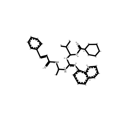 CC(NC(=O)/C=C/c1ccccc1)N/C(=N\c1cccc2cccnc12)SC(OC(=O)C1CCCCC1)C(C)C